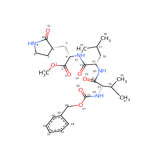 COC(=O)[C@H](C[C@@H]1CCNC1=O)NC(=O)[C@H](CC(C)C)NC(=O)[C@@H](NC(=O)OCc1ccccc1)C(C)C